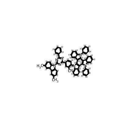 Cc1ccc2c(c1)c1cc(C)ccc1n2-c1nc(-c2ccccc2)nc(-c2ccc(-n3c4ccccc4c4c5c(c6ccccc6n5-c5ccccc5)c5c(c6ccccc6n5-c5ccccc5)c43)c(C#N)c2)n1